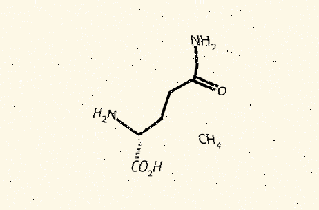 C.NC(=O)CC[C@@H](N)C(=O)O